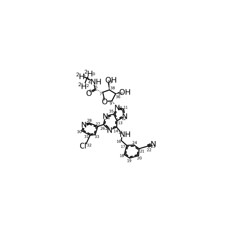 [2H]C([2H])([2H])NC(=O)[C@H]1O[C@@H](n2cnc3c(NCc4cccc(C#N)c4)nc(-c4cncc(Cl)c4)nc32)[C@H](O)[C@@H]1O